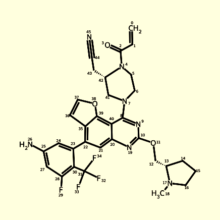 C=CC(=O)N1CCN(c2nc(OC[C@@H]3CCCN3C)nc3cc(-c4cc(N)cc(F)c4C(F)(F)F)c4ccoc4c23)C[C@@H]1CC#N